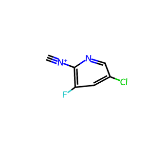 C#[N+]c1ncc(Cl)cc1F